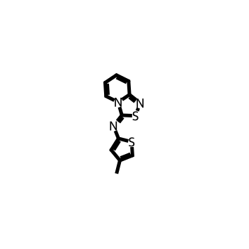 Cc1csc(N=c2snc3ccccn23)c1